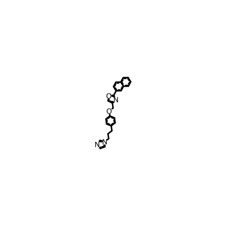 c1ccc2cc(-c3nc(COc4ccc(CCCn5ccnc5)cc4)co3)ccc2c1